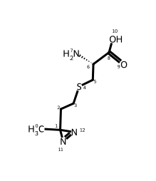 CC1(CCSC[C@H](N)C(=O)O)N=N1